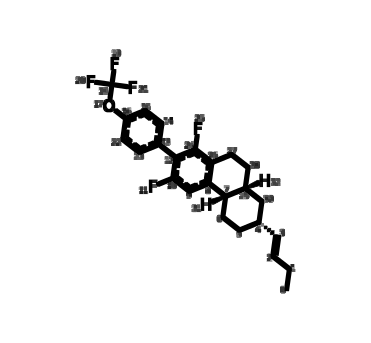 CC/C=C/[C@@H]1CC[C@@H]2c3cc(F)c(-c4ccc(OC(F)(F)F)cc4)c(F)c3CC[C@@H]2C1